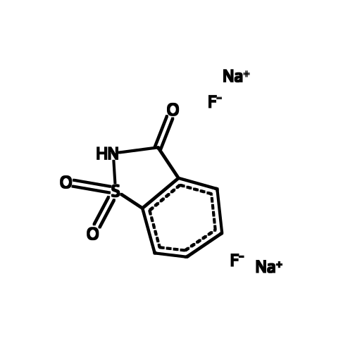 O=C1NS(=O)(=O)c2ccccc21.[F-].[F-].[Na+].[Na+]